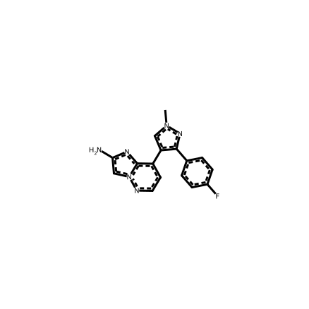 Cn1cc(-c2ccnn3cc(N)nc23)c(-c2ccc(F)cc2)n1